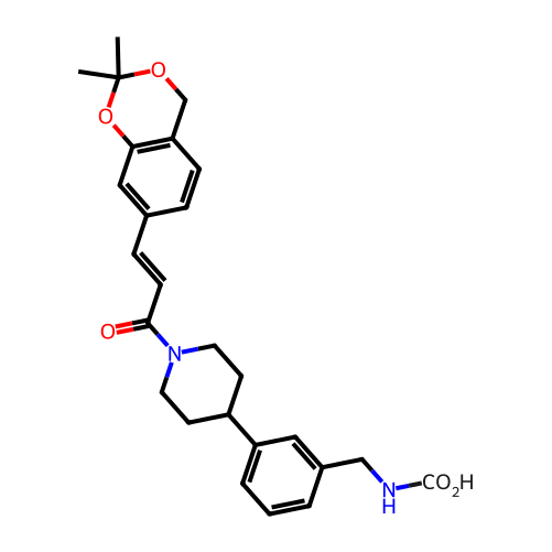 CC1(C)OCc2ccc(/C=C/C(=O)N3CCC(c4cccc(CNC(=O)O)c4)CC3)cc2O1